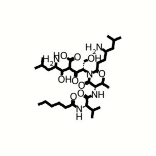 CCCCCC(=O)N[C@H](C(=O)N[C@H](C(=O)N(C(=O)CCC(N)CC(C)C)[C@@H](CO)C(=O)C(C(=O)O)C(O)C(N)CC(C)C)C(C)C)C(C)C